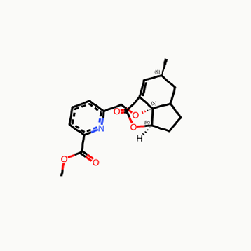 COC(=O)c1cccc(CO[C@]23C4=C[C@@H](C)CC2CC[C@H]3OC4=O)n1